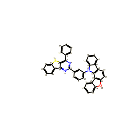 c1ccc(-c2nc(-c3cccc(-n4c5ccccc5c5ccc6oc7ccccc7c6c54)c3)nc3c2sc2ccccc23)cc1